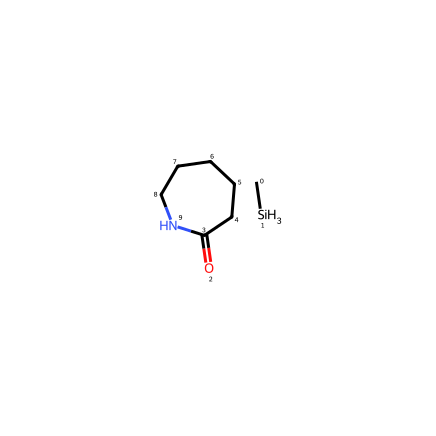 C[SiH3].O=C1CCCCCN1